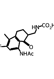 CC(=O)Nc1cc(F)c(C)c2c1C(=O)C(CNC(=O)O)CC2